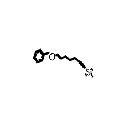 C[Si](C)(C)C#CCCCCCOCc1ccccc1